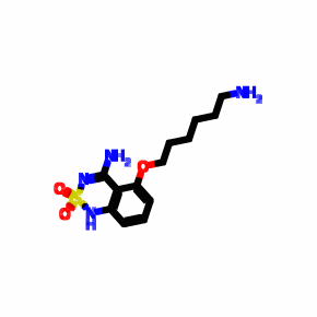 NCCCCCCOc1cccc2c1C(N)=NS(=O)(=O)N2